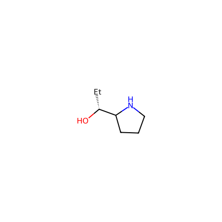 CC[C@@H](O)C1CCCN1